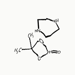 C1CNCCN1.CC1(C)O[PH](=O)O1